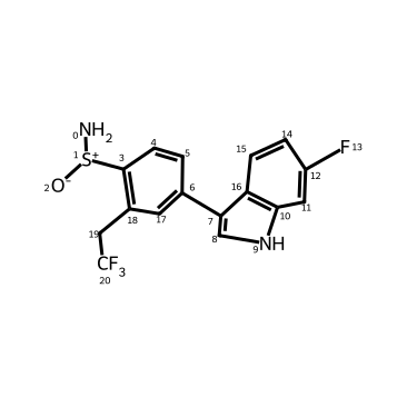 N[S+]([O-])c1ccc(-c2c[nH]c3cc(F)ccc23)cc1CC(F)(F)F